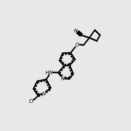 N#CC1(COc2ccc3c(Nc4ccc(Cl)nc4)nccc3c2)CCC1